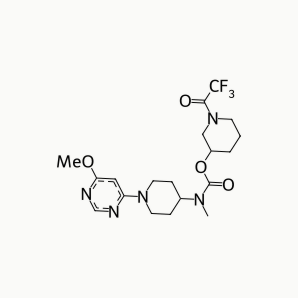 COc1cc(N2CCC(N(C)C(=O)OC3CCCN(C(=O)C(F)(F)F)C3)CC2)ncn1